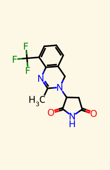 CC1=Nc2c(cccc2C(F)(F)F)CN1C1CC(=O)NC1=O